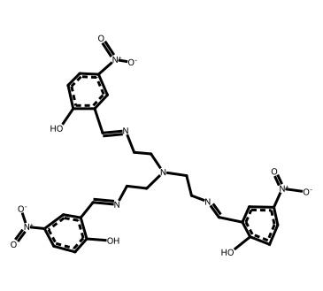 O=[N+]([O-])c1ccc(O)c(C=NCCN(CCN=Cc2cc([N+](=O)[O-])ccc2O)CCN=Cc2cc([N+](=O)[O-])ccc2O)c1